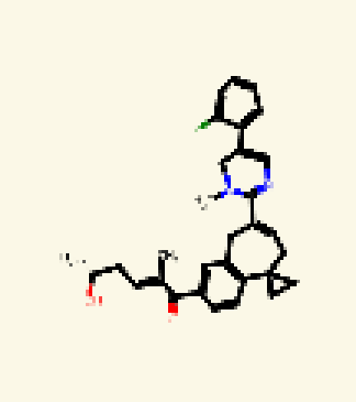 C/C(=C\C[C@@H](C)O)C(=O)c1ccc2c(c1)CC(C1=NC=C(c3ccccc3F)CN1C)=CCC21CC1